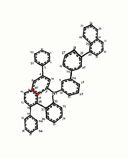 c1ccc(-c2cccc(N(c3cccc(-c4cccc(-c5cccc6ccccc56)c4)c3)c3ccccc3-c3ccccc3-c3ccccc3)c2)cc1